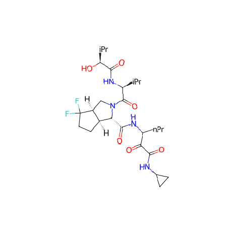 CCCC(NC(=O)[C@@H]1[C@H]2CCC(F)(F)[C@H]2CN1C(=O)[C@@H](NC(=O)[C@@H](O)C(C)C)C(C)C)C(=O)C(=O)NC1CC1